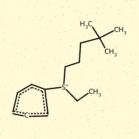 CC[S+](CCCC(C)(C)C)c1ccccc1